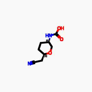 N#CC[C@H]1CC[C@H](NC(=O)O)CO1